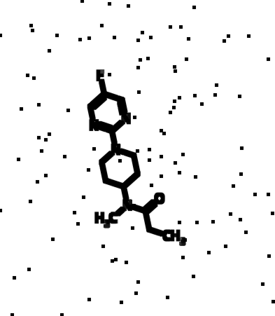 CCC(=O)N(C)C1CCN(c2ncc(F)cn2)CC1